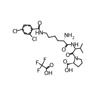 CC(C)[C@H](NC(=O)[C@@H](N)CCCCNC(=O)c1ccc(Cl)cc1Cl)C(=O)N1CCC[C@H]1C(=O)O.O=C(O)C(F)(F)F